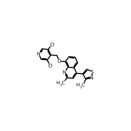 Cc1cc(-c2csnc2C)c2cccc(OCc3c(Cl)cncc3Cl)c2n1